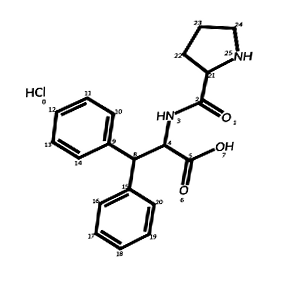 Cl.O=C(NC(C(=O)O)C(c1ccccc1)c1ccccc1)C1CCCN1